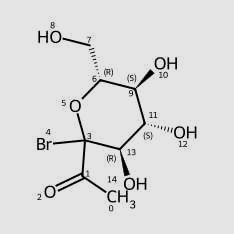 CC(=O)C1(Br)O[C@H](CO)[C@@H](O)[C@H](O)[C@H]1O